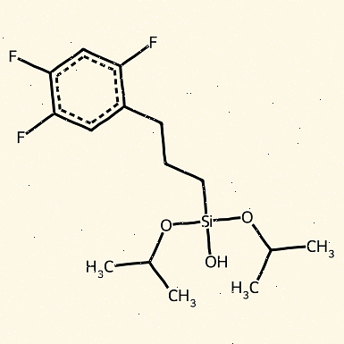 CC(C)O[Si](O)(CCCc1cc(F)c(F)cc1F)OC(C)C